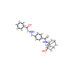 O=C(CNCc1ccc(C(=O)NC23CC4CC(CC(O)(C4)C2)C3)cc1)c1ccccc1